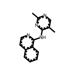 Cc1ncc(C)c(Nc2nccc3ccccc23)n1